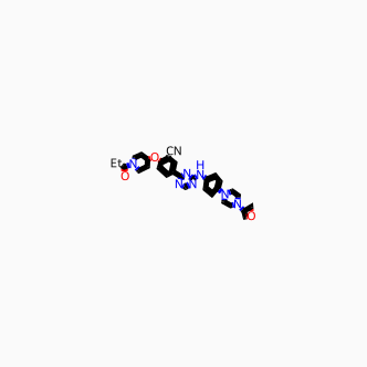 CCC(=O)N1CCC(Oc2ccc(-c3ncnc(Nc4ccc(N5CCN(C6COC6)CC5)cc4)n3)cc2C#N)CC1